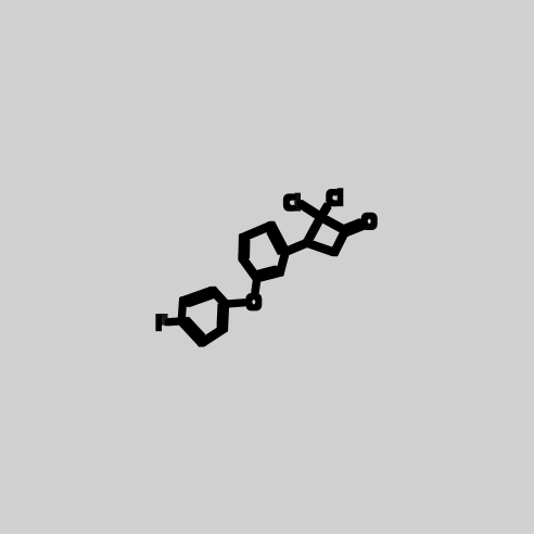 O=C1CC(c2cccc(Oc3ccc(F)cc3)c2)C1(Cl)Cl